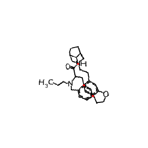 CCCN1Cc2ccccc2CC1C(=O)NC1C2CCC1CN(CCc1ccc3c(c1)OCC3)C2